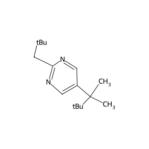 CC(C)(C)Cc1ncc(C(C)(C)C(C)(C)C)cn1